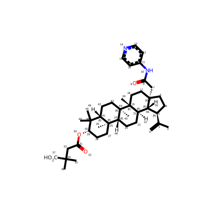 C=C(C)[C@@H]1CC[C@]2(CC(=O)Nc3ccncc3)CC[C@]3(C)[C@H](CC[C@@H]4[C@@]5(C)CC[C@H](OC(=O)CC(C)(C)C(=O)O)C(C)(C)[C@@H]5CC[C@]43C)[C@@H]12